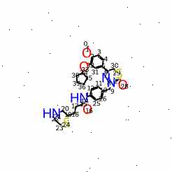 COc1ccc(C2=NN(Cc3ccc(NC(=O)CCC4CNCCS4)cc3)C(=O)SC2)cc1OC1CCCC1